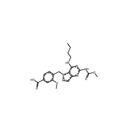 CCCCNc1nc(NC(=O)OC)nc2cnn(Cc3ccc(C(=O)O)cc3OC)c12